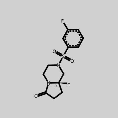 O=C1CC[C@H]2CN(S(=O)(=O)c3cccc(F)c3)CCN12